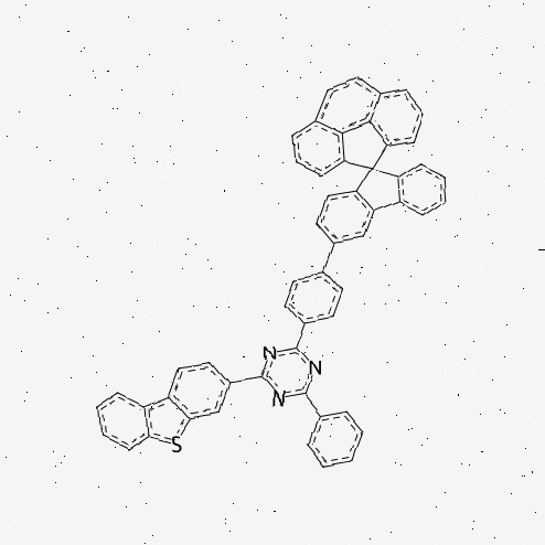 c1ccc(-c2nc(-c3ccc(-c4ccc5c(c4)-c4ccccc4C54c5cccc6ccc7cccc4c7c56)cc3)nc(-c3ccc4c(c3)sc3ccccc34)n2)cc1